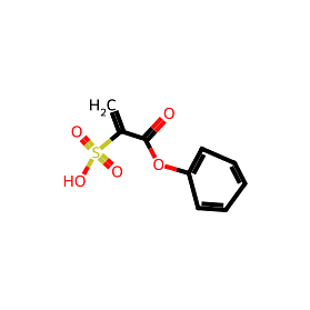 C=C(C(=O)Oc1ccccc1)S(=O)(=O)O